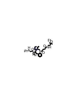 C=C/C1=C(\C=C/C)c2c(nnn2C(O)CNC(C)C)-c2ccccc2N(C(=O)CCC(=O)NCCC(C)(C)OCC)C1